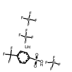 F[B-](F)(F)F.F[B-](F)(F)F.F[B-](F)(F)F.O=S(=O)(O)c1ccc(C(F)(F)F)cc1.[LiH]